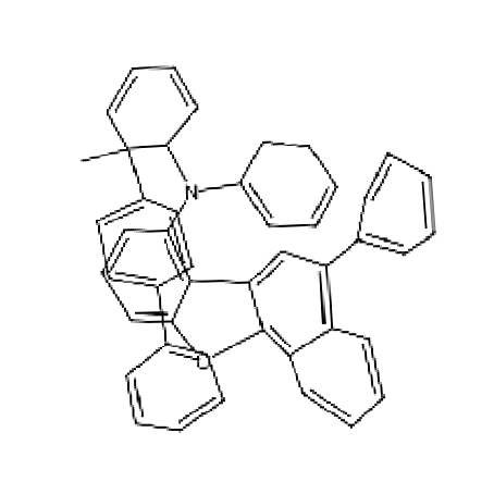 CC1(c2ccc(-c3ccccc3)cc2)C=CC=CC1N(C1=CC=CCC1)c1cccc2oc3c4ccccc4c(-c4ccccc4)cc3c12